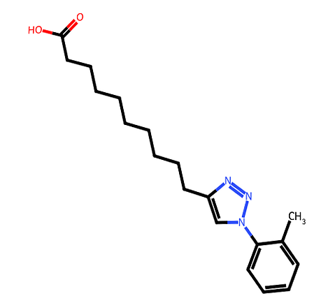 Cc1ccccc1-n1cc(CCCCCCCCCC(=O)O)nn1